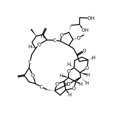 C=C1CC2CC[C@@]34C[C@H]5O[C@H]6[C@@H](O3)[C@H]3O[C@H](CC[C@@H]3O[C@H]6[C@H]5O4)CC(=O)CC3C(C[C@H]4O[C@@H](CCC1O2)C[C@@H](C)C4=C)O[C@H](C[C@H](O)CO)[C@@H]3OC